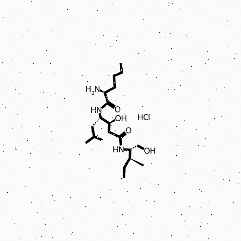 CCCC[C@H](N)C(=O)N[C@@H](CC(C)C)[C@@H](O)CC(=O)N[C@H](CO)[C@@H](C)CC.Cl